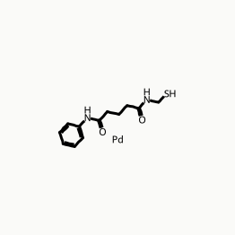 O=C(CCCC(=O)Nc1ccccc1)NCS.[Pd]